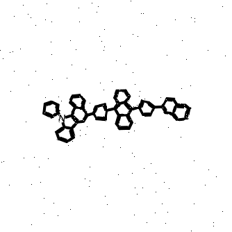 c1ccc(-n2c3ccccc3c3cc(-c4ccc(-c5c6ccccc6c(-c6ccc(-c7ccc8ccccc8c7)cc6)c6ccccc56)cc4)c4ccccc4c32)cc1